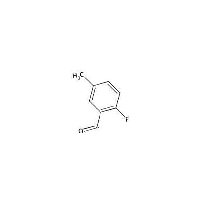 Cc1ccc(F)c([C]=O)c1